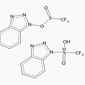 O=S(On1nnc2ccccc21)C(F)(F)F.O=[SH](O)(n1nnc2ccccc21)C(F)(F)F